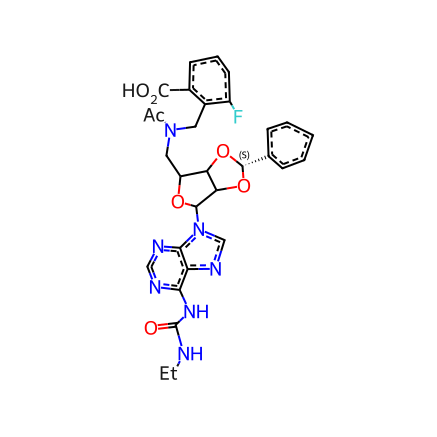 CCNC(=O)Nc1ncnc2c1ncn2C1OC(CN(Cc2c(F)cccc2C(=O)O)C(C)=O)C2O[C@H](c3ccccc3)OC21